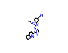 CCCn1c(Cn2ccnc2-c2ccc3ccccc3n2)nc2cc(C#N)ccc21